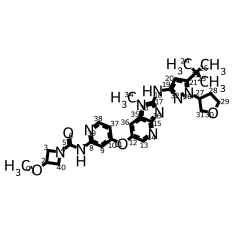 COC1CN(C(=O)Nc2cc(Oc3cnc4nc(Nc5cc(C(C)(C)C)n(C6CCOC6)n5)n(C)c4c3)ccn2)C1